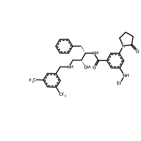 CCNc1cc(C(=O)N[C@@H](Cc2ccccc2)[C@H](O)CNCc2cc(C(F)(F)F)cc(C(F)(F)F)c2)cc(N2CCCC2=O)c1